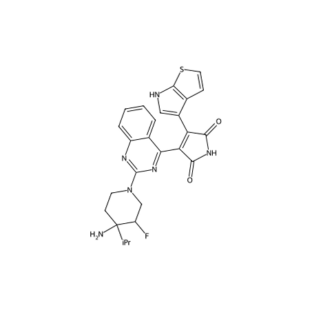 CC(C)C1(N)CCN(c2nc(C3=C(c4c[nH]c5sccc45)C(=O)NC3=O)c3ccccc3n2)CC1F